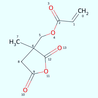 C=CC(=O)OCC1(C)CC(=O)OC1=O